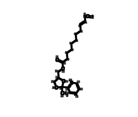 CCCCCCCCC=CCCCCCCCC(=O)OCC1COC(C)(c2cnccn2)O1